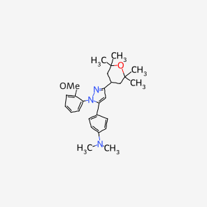 COc1ccccc1-n1nc(C2CC(C)(C)OC(C)(C)C2)cc1-c1ccc(N(C)C)cc1